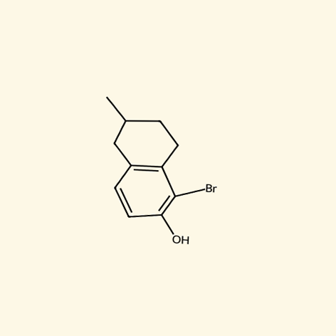 CC1CCc2c(ccc(O)c2Br)C1